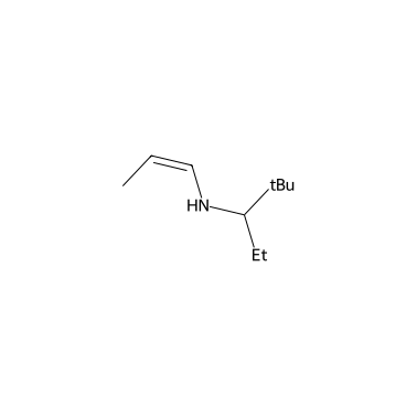 C/C=C\NC(CC)C(C)(C)C